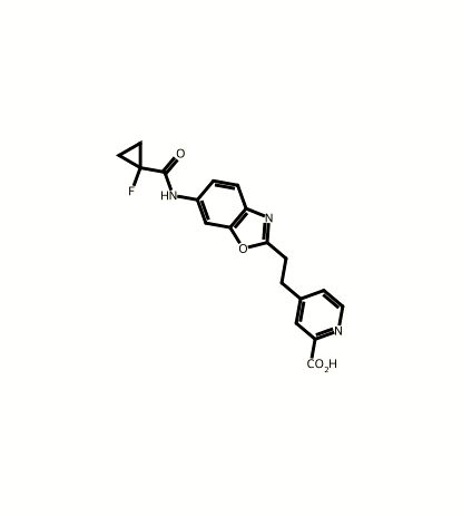 O=C(O)c1cc(CCc2nc3ccc(NC(=O)C4(F)CC4)cc3o2)ccn1